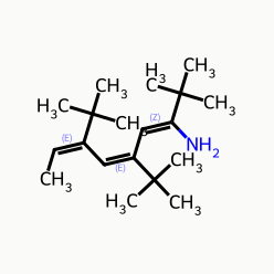 C\C=C(/C=C(\C=C(/N)C(C)(C)C)C(C)(C)C)C(C)(C)C